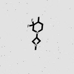 CC1CCN(C2CN(C)C2)CC1(F)F